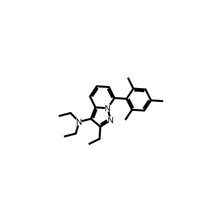 CCc1nn2c(-c3c(C)cc(C)cc3C)cccc2c1N(CC)CC